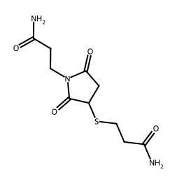 NC(=O)CCSC1CC(=O)N(CCC(N)=O)C1=O